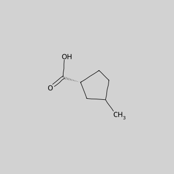 CC1CC[C@@H](C(=O)O)C1